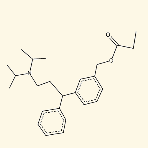 CCC(=O)OCc1cc[c]c(C(CCN(C(C)C)C(C)C)c2ccccc2)c1